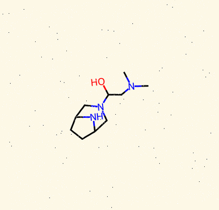 CN(C)CC(O)N1CC2CCC(C1)N2